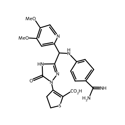 COc1cnc(C(Nc2ccc(C(=N)N)cc2)c2nn(C3=C(C(=O)O)SCC3)c(=O)[nH]2)cc1OC